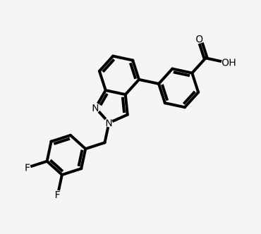 O=C(O)c1cccc(-c2cccc3nn(Cc4ccc(F)c(F)c4)cc23)c1